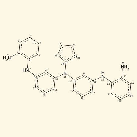 Nc1ccccc1Nc1cccc(N(c2cccc(Nc3ccccc3N)c2)c2ccco2)c1